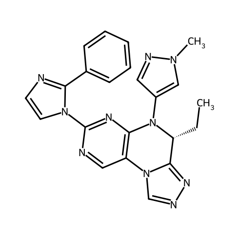 CC[C@@H]1c2nncn2-c2cnc(-n3ccnc3-c3ccccc3)nc2N1c1cnn(C)c1